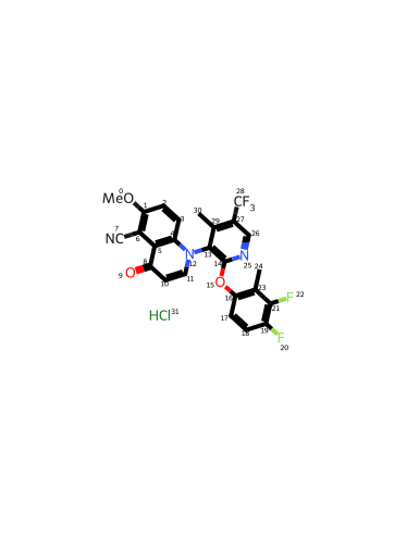 COc1ccc2c(c1C#N)c(=O)ccn2-c1c(Oc2ccc(F)c(F)c2C)ncc(C(F)(F)F)c1C.Cl